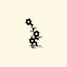 CCCc1c(S(=O)(=O)O)ccc(C)c1-c1c[nH]c2ccc(NC(=O)OCc3ccccc3)cc12